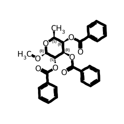 CO[C@@H]1O[C@@H](C)[C@@H](OC(=O)c2ccccc2)[C@@H](OC(=O)c2ccccc2)[C@@H]1OC(=O)c1ccccc1